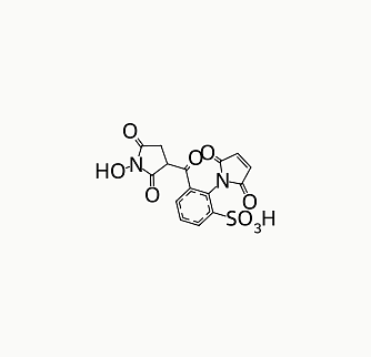 O=C(c1cccc(S(=O)(=O)O)c1N1C(=O)C=CC1=O)C1CC(=O)N(O)C1=O